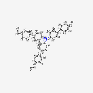 C=Cc1ccc(-c2ccc3c(c2)c2cc(-c4ccc(C=C)cc4)ccc2n3-c2ccc(-c3ccc(C)cc3)cc2)cc1